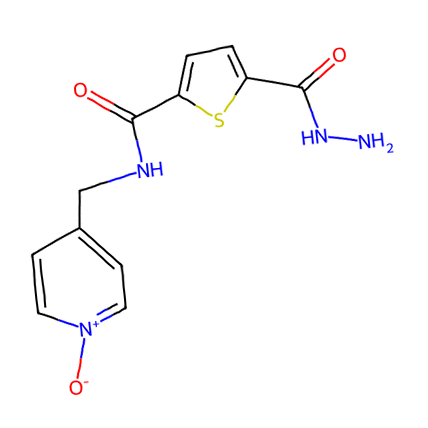 NNC(=O)c1ccc(C(=O)NCc2cc[n+]([O-])cc2)s1